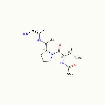 CCC(N/C(C)=C\N)[C@@H]1CCCN1C(=O)[C@@H](NC(=O)OC)[C@H](C)OC